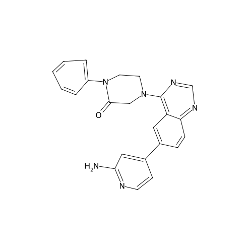 Nc1cc(-c2ccc3ncnc(N4CCN(c5ccccc5)C(=O)C4)c3c2)ccn1